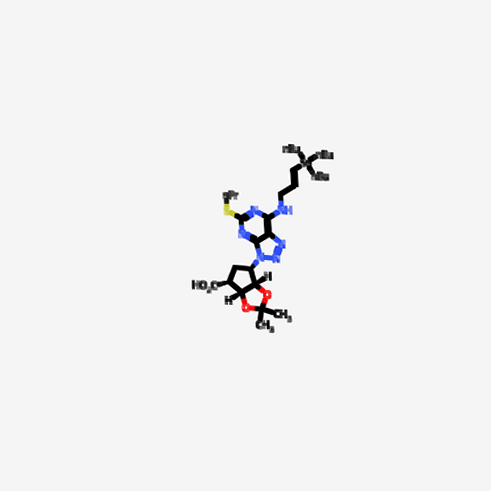 CCC[CH2][Sn](/[CH]=C/CNc1nc(SCCC)nc2c1nnn2[C@@H]1C[C@H](C(=O)O)[C@H]2OC(C)(C)O[C@H]21)([CH2]CCC)[CH2]CCC